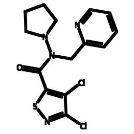 O=C(c1snc(Cl)c1Cl)N(Cc1ccccn1)N1CCCC1